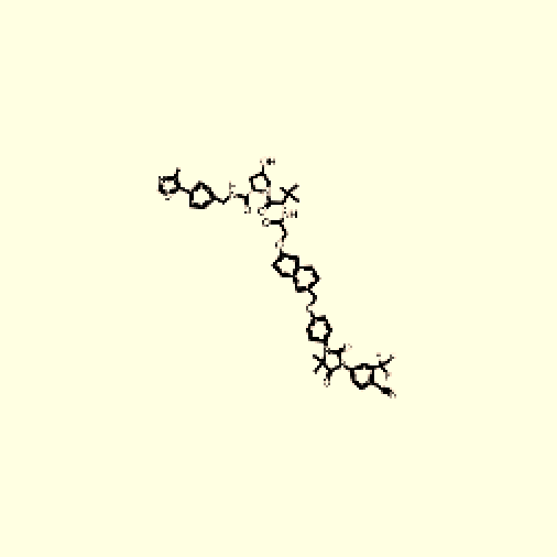 Cc1ncsc1-c1ccc(CNC(=O)[C@@H]2C[C@@H](O)CN2C(=O)[C@@H](NC(=O)COc2ccc3cc(COc4ccc(N5C(=O)N(c6ccc(C#N)c(C(F)(F)F)c6)C(=O)C5(C)C)cc4)ccc3c2)C(C)(C)C)cc1